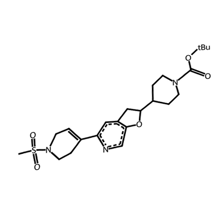 CC(C)(C)OC(=O)N1CCC(C2Cc3cc(C4=CCN(S(C)(=O)=O)CC4)ncc3O2)CC1